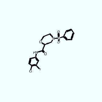 O=C(Nc1ccc(Cl)c(F)c1)C1CN(S(=O)(=O)c2ccccc2)CCO1